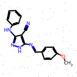 COc1ccc(/C=N/c2[nH]nc(Nc3ccccc3)c2C#N)cc1